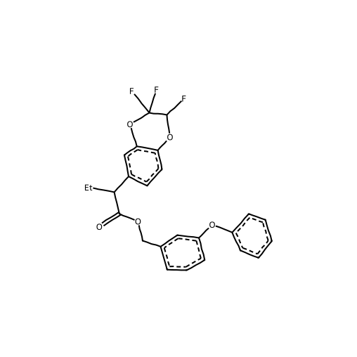 CCC(C(=O)OCc1cccc(Oc2ccccc2)c1)c1ccc2c(c1)OC(F)(F)C(F)O2